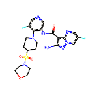 Nc1nn2cc(F)cnc2c1C(=O)Nc1cncc(F)c1N1CCC(S(=O)(=O)N2CCOCC2)CC1